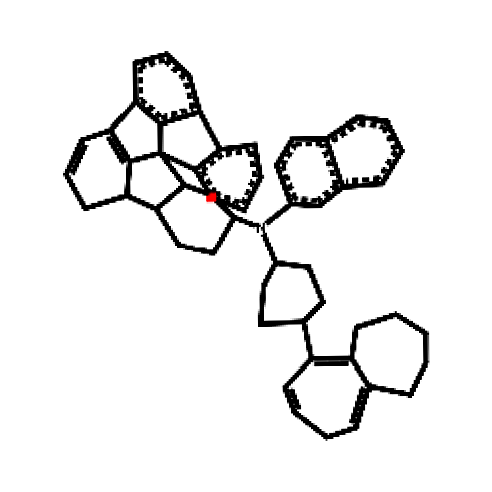 C1=CC(C2CCC(N(c3ccc4ccccc4c3)C3CCC4C5CC=CC6=C5C5(c7ccccc7-c7cccc6c75)C4C3)CC2)=C2CCCCCC2=CC1